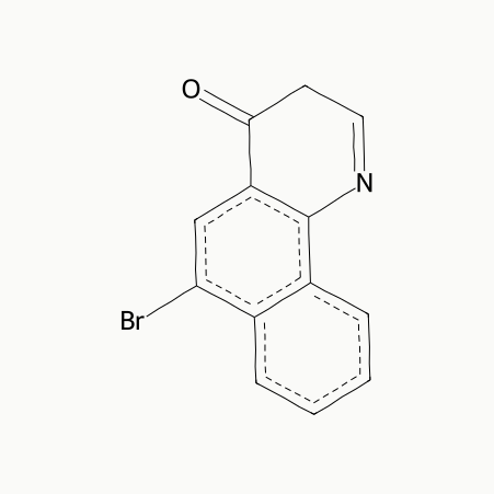 O=C1CC=Nc2c1cc(Br)c1ccccc21